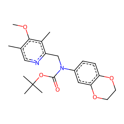 COc1c(C)cnc(CN(C(=O)OC(C)(C)C)c2ccc3c(c2)OCCO3)c1C